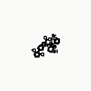 COc1cccc(OC)c1-c1ccc(C[C@H](NCC2(S(=O)(=O)c3cccc(Br)c3)CCCNC2)C(=O)O)cc1